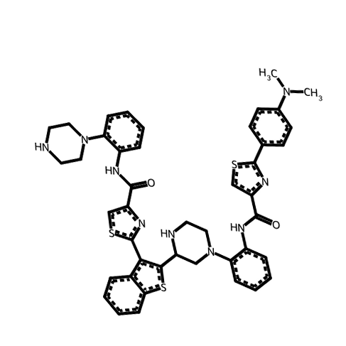 CN(C)c1ccc(-c2nc(C(=O)Nc3ccccc3N3CCNC(c4sc5ccccc5c4-c4nc(C(=O)Nc5ccccc5N5CCNCC5)cs4)C3)cs2)cc1